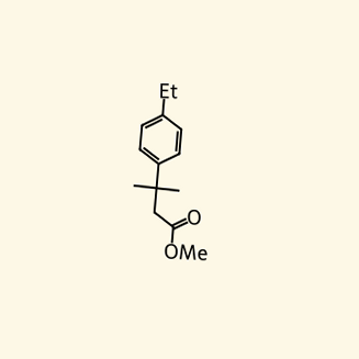 CCc1ccc(C(C)(C)CC(=O)OC)cc1